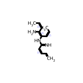 C=C/C=C\C(=N)NC(/C=C\C)=C(N)/C=C\C